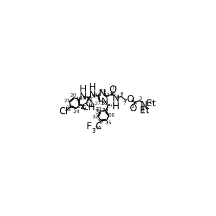 CCN(CC)CC(=O)OCCNC(=O)c1nc(NC(=O)Nc2ccc(Cl)cc2C)cn1Cc1ccc(C(F)(F)F)cc1